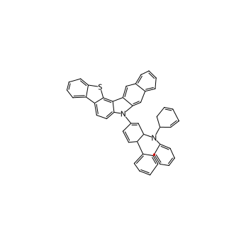 C1=CCC(N(c2ccccc2)C2C=C(n3c4cc5ccccc5cc4c4c5sc6ccccc6c5ccc43)C=CC2c2ccccc2)C=C1